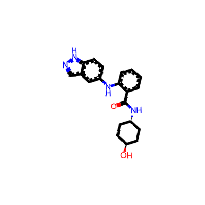 O=C(N[C@H]1CC[C@H](O)CC1)c1ccccc1Nc1ccc2[nH]ncc2c1